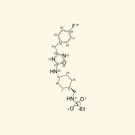 CCS(=O)(=O)NC[C@H]1CC[C@H](Nc2nc(Cc3ccc(F)cc3)no2)CC1